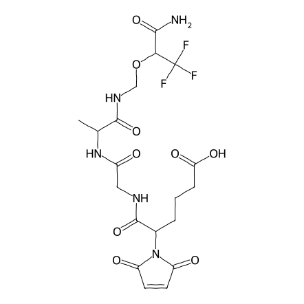 CC(NC(=O)CNC(=O)C(CCCC(=O)O)N1C(=O)C=CC1=O)C(=O)NCOC(C(N)=O)C(F)(F)F